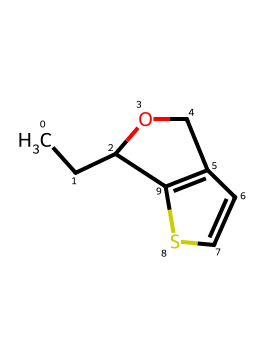 CCC1OCc2ccsc21